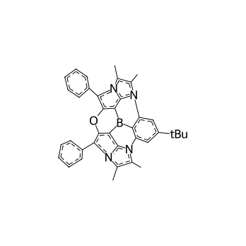 Cc1c(C)n2c(-c3ccccc3)c3c4c2n1-c1cc(C(C)(C)C)cc2c1B4c1c(c(-c4ccccc4)n4c(C)c(C)n-2c14)O3